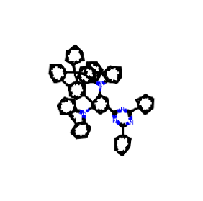 c1ccc(-c2nc(-c3ccccc3)nc(-c3cc(-n4c5ccccc5c5ccccc54)c(-c4ccc5c(c4)C(c4ccccc4)(c4ccccc4)c4ccccc4-5)c(-n4c5ccccc5c5ccccc54)c3)n2)cc1